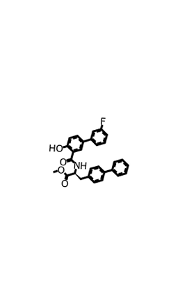 COC(=O)[C@H](Cc1ccc(-c2ccccc2)cc1)NC(=O)c1cc(-c2cccc(F)c2)ccc1O